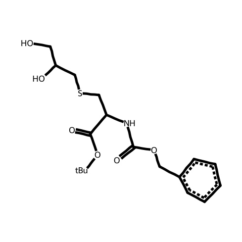 CC(C)(C)OC(=O)C(CSCC(O)CO)NC(=O)OCc1ccccc1